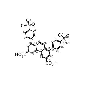 O=C(O)c1cc(-c2ccc(S(=O)(=O)Cl)cc2)c2ccc3c(-c4ccc(S(=O)(=O)Cl)cc4)cc(C(=O)O)nc3c2n1